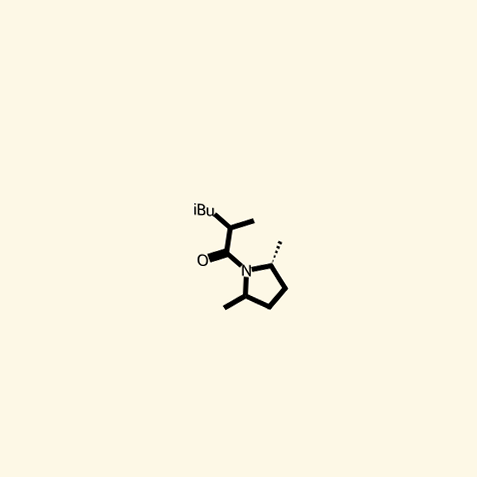 CCC(C)C(C)C(=O)N1C(C)CC[C@H]1C